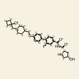 O=C(NC(=O)[C@@H]1C[C@@H](O)CN1)c1ccc(-c2ccc(OCC3CCN(CC4(C(F)(F)F)CCC4)CC3)nc2)c(F)c1